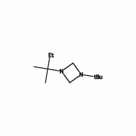 CCC(C)(C)N1CN(C(C)(C)C)C1